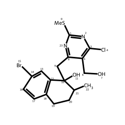 CSc1nc(Cl)c(CO)c(CC2(O)c3cc(Br)ccc3CCC2C)n1